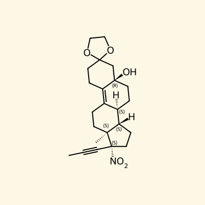 CC#C[C@]1([N+](=O)[O-])CC[C@H]2[C@@H]3CC[C@@]4(O)CC5(CCC4=C3CC[C@@]21C)OCCO5